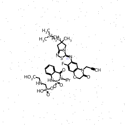 C#CCN1C(=O)COc2cc(F)c(/N=c3\snc4n3CC(C)(C)C4)cc21.CC(C)N1C(=O)c2ccccc2NS1(=O)=O.C[S+](C)C.O=C(O)CNCP(=O)([O-])O